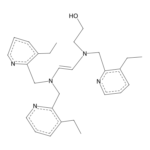 CCc1cccnc1CN(/C=C/N(Cc1ncccc1CC)Cc1ncccc1CC)CCO